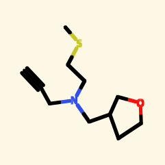 C#CCN(CCSC)CC1CCOC1